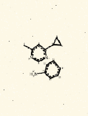 Cc1cc(C2CC2)ncn1.Nc1ccccc1